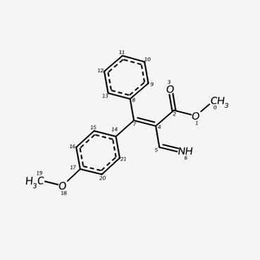 COC(=O)/C(C=N)=C(\c1ccccc1)c1ccc(OC)cc1